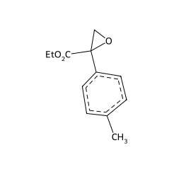 CCOC(=O)C1(c2ccc(C)cc2)CO1